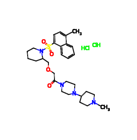 Cc1ccc(S(=O)(=O)N2CCCCC2COCC(=O)N2CCN(C3CCN(C)CC3)CC2)c2ccccc12.Cl.Cl